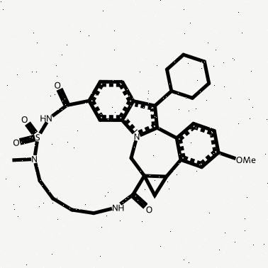 COc1ccc2c(c1)C1CC13Cn1c-2c(C2CCCCC2)c2ccc(cc21)C(=O)NS(=O)(=O)N(C)CCCCNC3=O